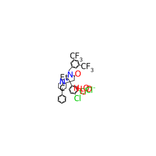 CC[N+]12CCC(c3ccccc3)(CC1)CC2C1(c2ccc(Cl)c(Cl)c2)CC(=O)N(Cc2cc(C(F)(F)F)cc(C(F)(F)F)c2)C1.O.O.[Cl-]